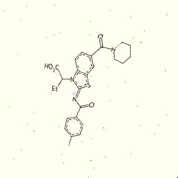 CCC(C(=O)O)n1/c(=N/C(=O)c2ccc(C)cc2)sc2cc(C(=O)N3CCCCC3)ccc21